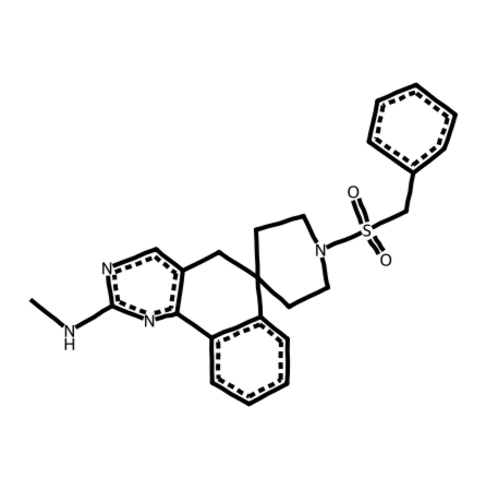 CNc1ncc2c(n1)-c1ccccc1C1(CCN(S(=O)(=O)Cc3ccccc3)CC1)C2